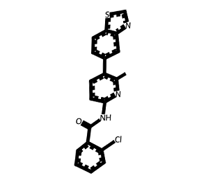 Cc1nc(NC(=O)c2ccccc2Cl)ccc1-c1ccc2scnc2c1